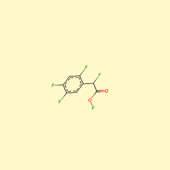 O=C(OF)C(F)c1cc(F)c(F)cc1F